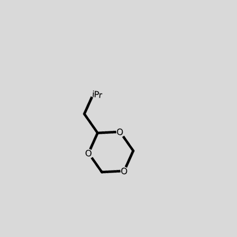 CC(C)CC1OCOCO1